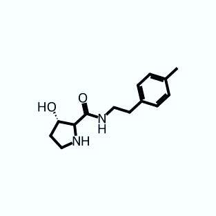 Cc1ccc(CCNC(=O)C2NCC[C@@H]2O)cc1